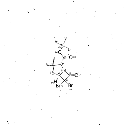 CC1(C)S[C@H]2N(C(=O)C2(Br)Br)[C@H]1C(=O)O[Si](C)(C)C